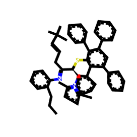 CCCc1ccccc1/N=C(\C/C=C/C(C)(C)C)[C@H](Cn1c(C)ccc1C)Sc1c(-c2ccccc2)c(-c2ccccc2)cc(-c2ccccc2)c1-c1ccccc1